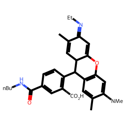 CCCCNC(=O)c1ccc(C2c3cc(C)c(NC)cc3OC3=C/C(=N/CC)C(C)=CC32)c(C(=O)O)c1